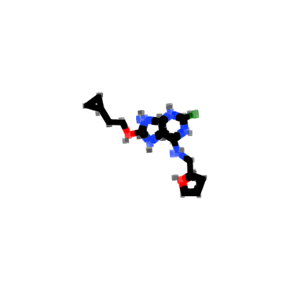 Clc1nc(NCc2ccco2)c2nc(OCCC3CC3)[nH]c2n1